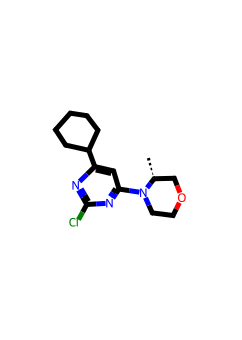 C[C@@H]1COCCN1c1cc(C2CCCCC2)nc(Cl)n1